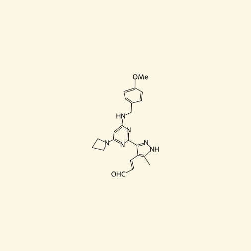 COc1ccc(CNc2cc(N3CCC3)nc(-c3n[nH]c(C)c3C=CC=O)n2)cc1